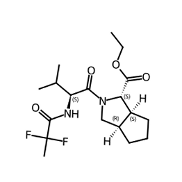 CCOC(=O)[C@@H]1[C@H]2CCC[C@H]2CN1C(=O)[C@@H](NC(=O)C(C)(F)F)C(C)C